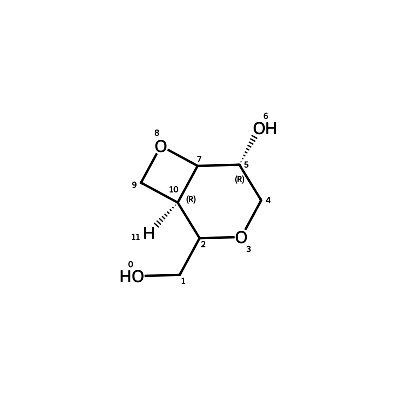 OCC1OC[C@@H](O)C2OC[C@H]12